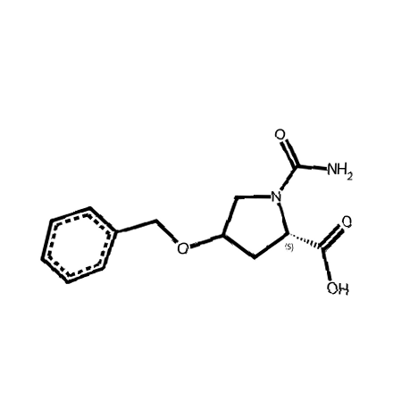 NC(=O)N1CC(OCc2ccccc2)C[C@H]1C(=O)O